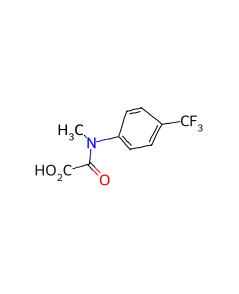 CN(C(=O)C(=O)O)c1ccc(C(F)(F)F)cc1